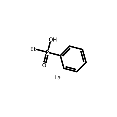 CCP(=O)(O)c1ccccc1.[La]